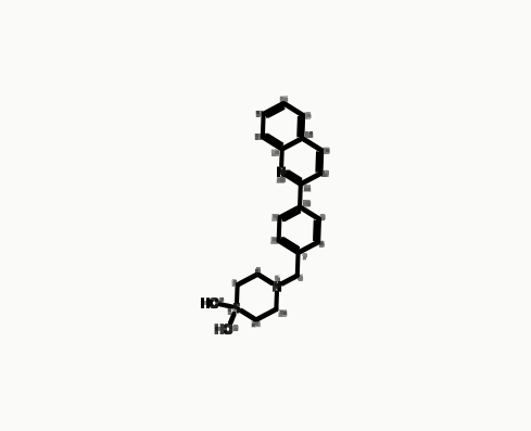 OS1(O)CCN(Cc2ccc(-c3ccc4ccccc4n3)cc2)CC1